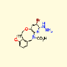 NNc1nc2c(cc1Br)OC[C@H]1COc3cccc(c31)CN2C(=O)O